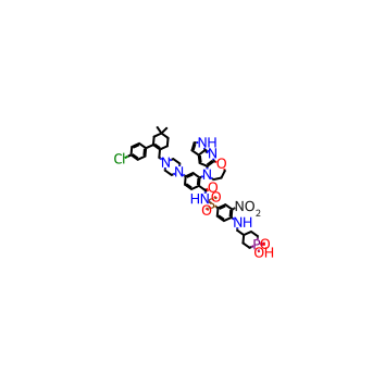 CC1(C)CCC(CN2CCN(c3ccc(C(=O)NS(=O)(=O)c4ccc(NCC5CCP(=O)(O)CC5)c([N+](=O)[O-])c4)c(N4CCCOc5nc6[nH]ccc6cc54)c3)CC2)=C(c2ccc(Cl)cc2)C1